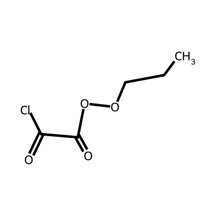 CCCOOC(=O)C(=O)Cl